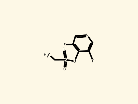 CCS(=O)(=O)Oc1c(F)cncc1F